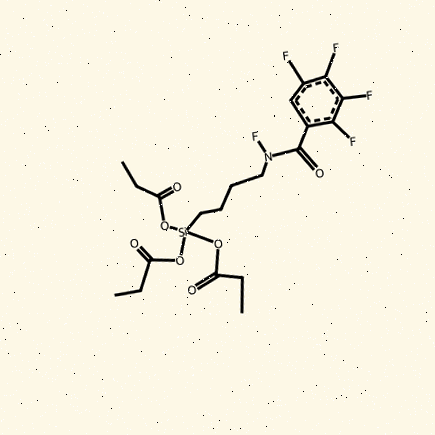 CCC(=O)O[Si](CCCCN(F)C(=O)c1cc(F)c(F)c(F)c1F)(OC(=O)CC)OC(=O)CC